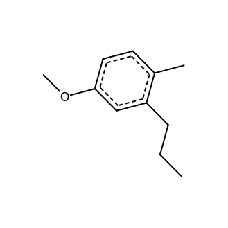 CCCc1cc(OC)ccc1C